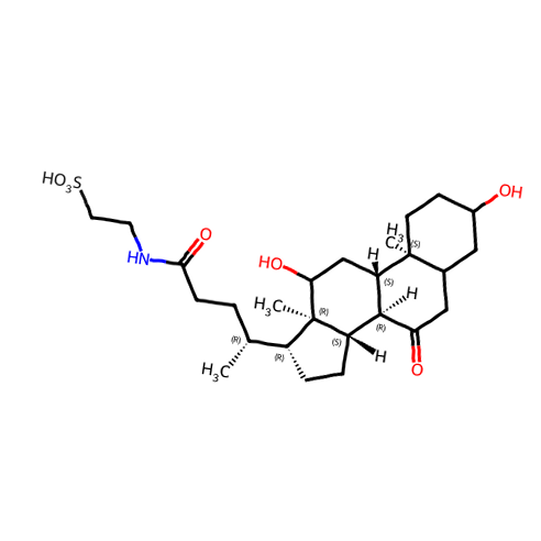 C[C@H](CCC(=O)NCCS(=O)(=O)O)[C@H]1CC[C@H]2[C@@H]3C(=O)CC4CC(O)CC[C@]4(C)[C@H]3CC(O)[C@]12C